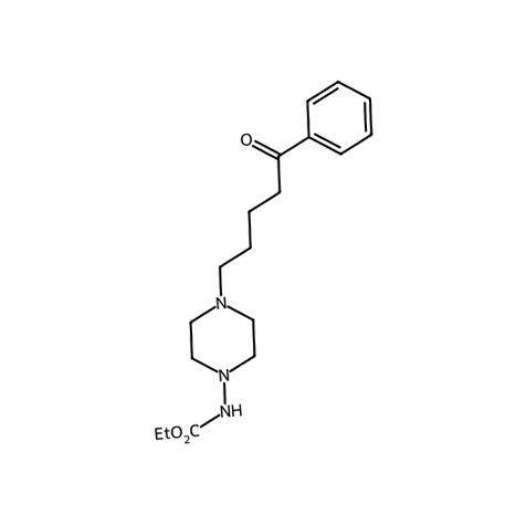 CCOC(=O)NN1CCN(CCCCC(=O)c2ccccc2)CC1